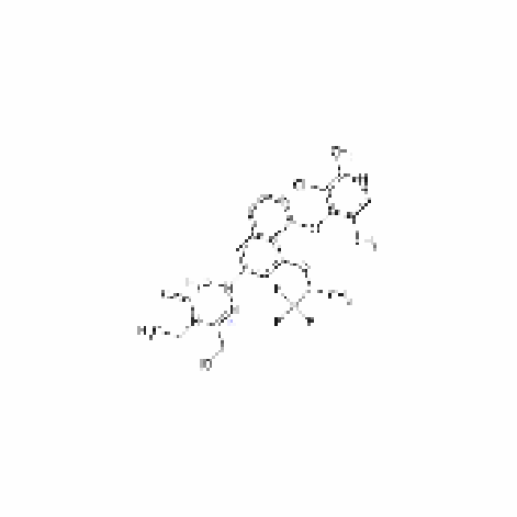 CCN(C=O)/C(CO)=N\N(C)c1cc(OC(C)C(F)(F)F)c2c(Oc3c(C)cnc(C)c3Cl)nccc2c1